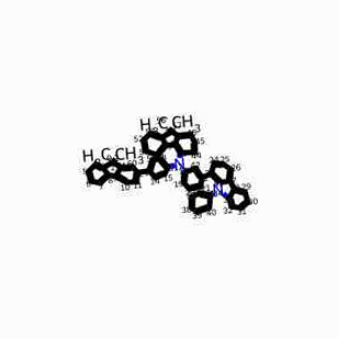 CC1(C)c2ccccc2-c2ccc(-c3ccc(N(c4cccc(-c5cccc6c7ccccc7n(-c7ccccc7)c56)c4)c4cccc5c4-c4ccccc4C5(C)C)cc3)cc21